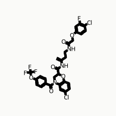 C=C(CCNC(=O)COc1ccc(Cl)c(F)c1)NC(=O)C1CN(C(=O)c2ccc(OC(F)(F)F)cc2)c2cc(Cl)ccc2O1